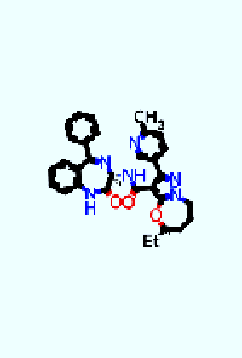 CC[C@@H]1CCCn2nc(-c3ccc(C)nc3)c(C(=O)N[C@H]3N=C(c4ccccc4)c4ccccc4NC3=O)c2O1